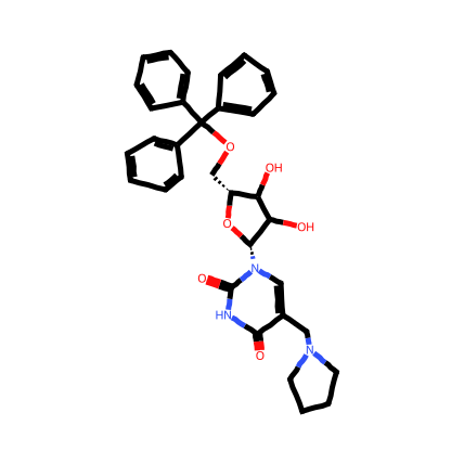 O=c1[nH]c(=O)n([C@@H]2O[C@H](COC(c3ccccc3)(c3ccccc3)c3ccccc3)C(O)C2O)cc1CN1CCCC1